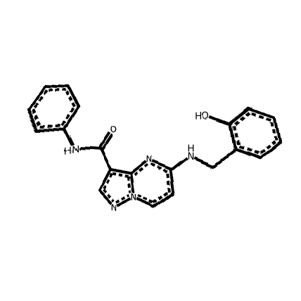 O=C(Nc1ccccc1)c1cnn2ccc(NCc3ccccc3O)nc12